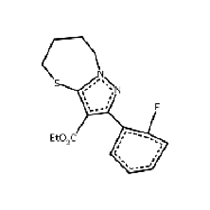 CCOC(=O)c1c(-c2ccccc2F)nn2c1SCCCC2